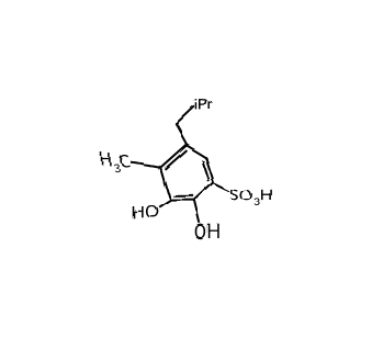 Cc1c(CC(C)C)cc(S(=O)(=O)O)c(O)c1O